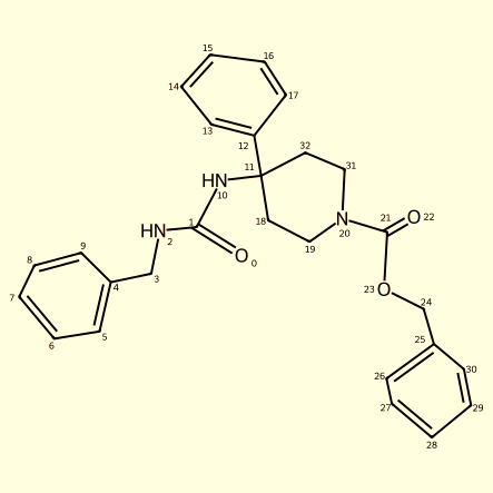 O=C(NCc1ccccc1)NC1(c2ccccc2)CCN(C(=O)OCc2ccccc2)CC1